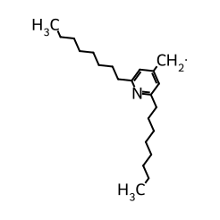 [CH2]c1cc(CCCCCCCC)nc(CCCCCCCC)c1